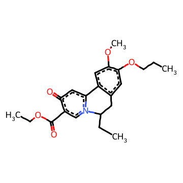 CCCOc1cc2c(cc1OC)-c1cc(=O)c(C(=O)OCC)cn1C(CC)C2